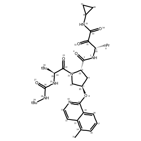 CCC[C@H](NC(=O)[C@@H]1C[C@@H](Oc2nccc3c(C)cccc23)CN1C(=O)[C@@H](NC(=O)NC(C)(C)C)C(C)(C)C)C(=O)C(=O)NC1CC1